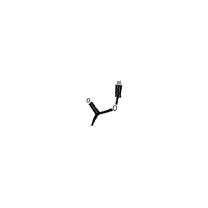 [CH]C(=O)OC#N